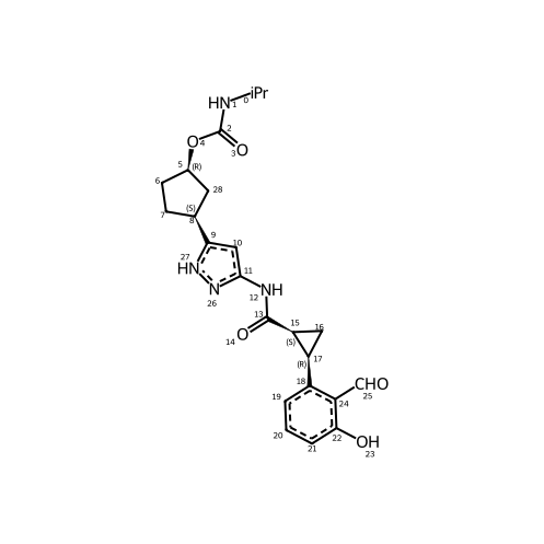 CC(C)NC(=O)O[C@@H]1CC[C@H](c2cc(NC(=O)[C@H]3C[C@H]3c3cccc(O)c3C=O)n[nH]2)C1